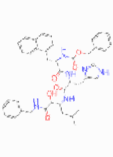 CC(C)C[C@H](NC(=O)[C@@H](Cc1c[nH]cn1)NC(=O)[C@H](Cc1cccc2ccccc12)NC(=O)OCc1ccccc1)[C@H](O)C(=O)NCc1ccccc1